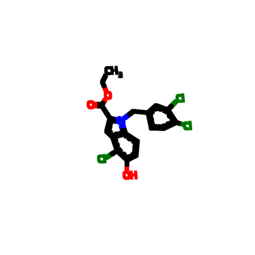 CCOC(=O)c1cc2c(Cl)c(O)ccc2n1Cc1ccc(Cl)c(Cl)c1